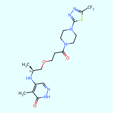 Cc1c(N[C@@H](C)COCCC(=O)N2CCN(c3nnc(C(F)(F)F)s3)CC2)cn[nH]c1=O